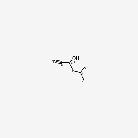 CC(C)C[C@H](O)C#N